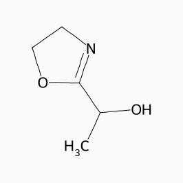 CC(O)C1=NCCO1